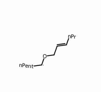 CCCC=CCO[CH]CCCCC